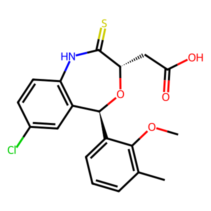 COc1c(C)cccc1[C@@H]1O[C@@H](CC(=O)O)C(=S)Nc2ccc(Cl)cc21